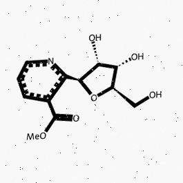 COC(=O)c1cccnc1[C@@H]1O[C@H](CO)[C@@H](O)[C@H]1O